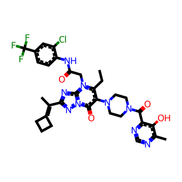 CCc1c(N2CCN(C(=O)c3ncnc(C)c3O)CC2)c(=O)n2nc(C(C)=C3CCC3)nc2n1CC(=O)Nc1ccc(C(F)(F)F)cc1Cl